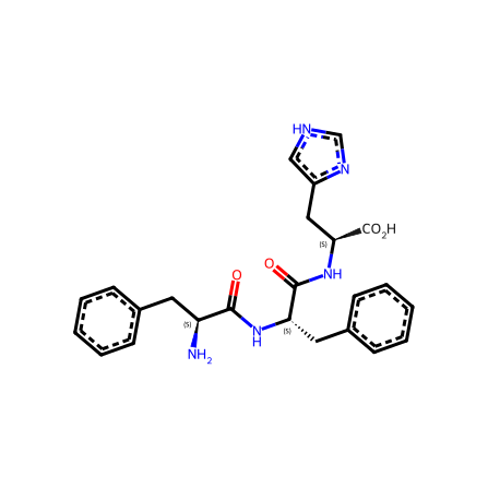 N[C@@H](Cc1ccccc1)C(=O)N[C@@H](Cc1ccccc1)C(=O)N[C@@H](Cc1c[nH]cn1)C(=O)O